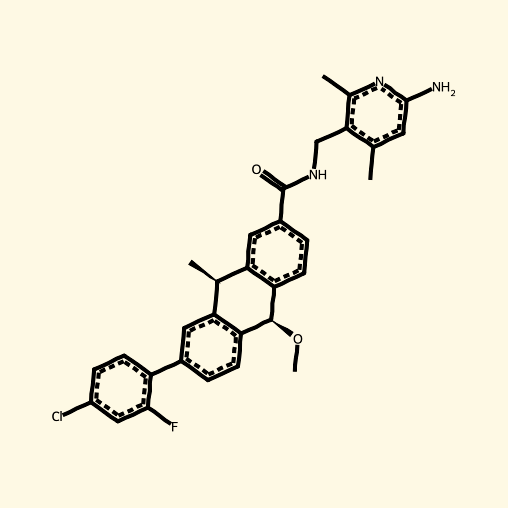 CO[C@@H]1c2ccc(C(=O)NCc3c(C)cc(N)nc3C)cc2[C@H](C)c2cc(-c3ccc(Cl)cc3F)ccc21